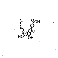 CC(C)=CCC/C(C)=C/CC[C@]1(C)Oc2c(c(O)cc3c2CN(c2ccc(C(=O)O)cc2)C3=O)C[C@@H]1O